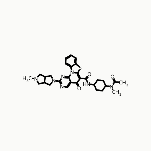 CC(=O)N(C)C1CCC(NC(=O)c2c(=O)c3cnc(N4CC5CN(C)CC5C4)nc3n3c2sc2ccccc23)CC1